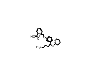 CCCCC(OC1CCCCO1)c1cccc(OCC2(C)C=CC=CC2C(=O)O)c1